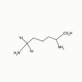 [2H]C([2H])(N)CCCC(N)C(=O)O